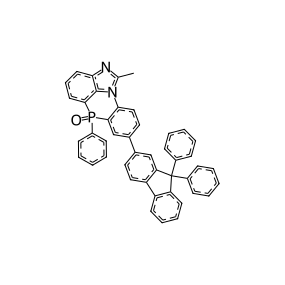 Cc1nc2cccc3c2n1-c1ccc(-c2ccc4c(c2)C(c2ccccc2)(c2ccccc2)c2ccccc2-4)cc1P3(=O)c1ccccc1